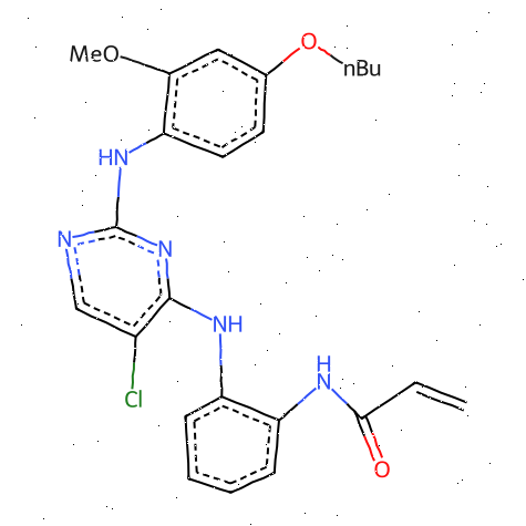 C=CC(=O)Nc1ccccc1Nc1nc(Nc2ccc(OCCCC)cc2OC)ncc1Cl